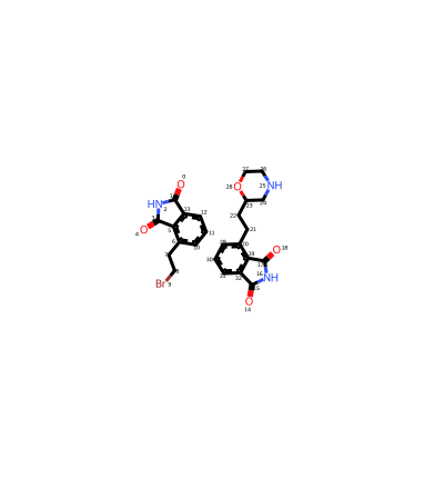 O=C1NC(=O)c2c(CCBr)cccc21.O=C1NC(=O)c2c(CCC3CNCCO3)cccc21